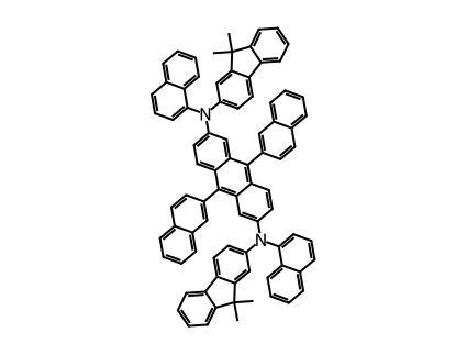 CC1(C)c2ccccc2-c2ccc(N(c3ccc4c(-c5ccc6ccccc6c5)c5cc(N(c6ccc7c(c6)C(C)(C)c6ccccc6-7)c6cccc7ccccc67)ccc5c(-c5ccc6ccccc6c5)c4c3)c3cccc4ccccc34)cc21